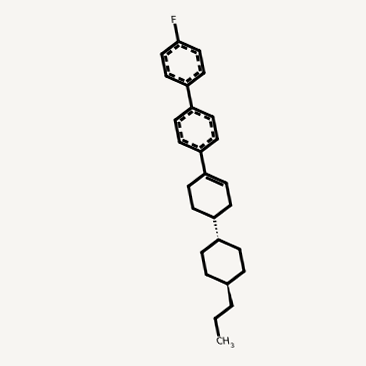 CCC[C@H]1CC[C@H](C2CC=C(c3ccc(-c4ccc(F)cc4)cc3)CC2)CC1